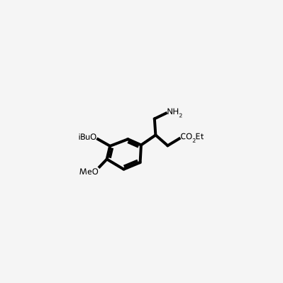 CCOC(=O)CC(CN)c1ccc(OC)c(OCC(C)C)c1